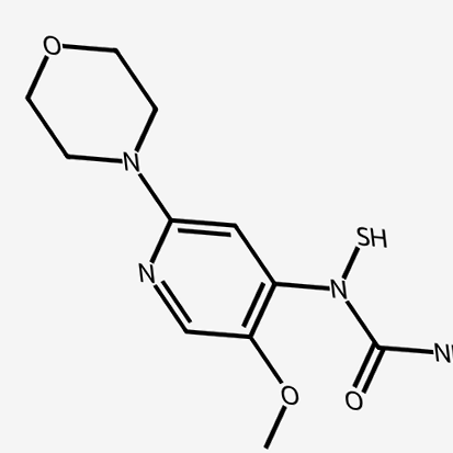 COc1cnc(N2CCOCC2)cc1N(S)C(N)=O